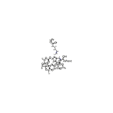 CCCCC[C@H](O)/C=C/[C@@H]1[C@@H](C/C=C\CCCC(=O)OC(C)C)[C@@H](OC(=O)OC(C)C(=O)OC(C)C(=O)OC(C)C(=O)OC(C)C(=O)OC(C)C(=O)OC(C)O)C[C@H]1O